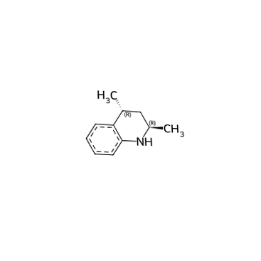 C[C@@H]1C[C@@H](C)c2ccccc2N1